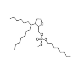 CCCCCCCCOP(=O)(OCC1OCCC1C(CCCCCC)CCCCCCC)SC